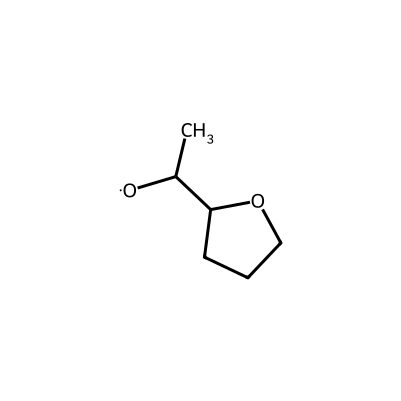 CC([O])C1CCCO1